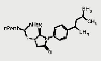 BC(C)CC(C)c1ccc(N2C(=O)CC(SC(CCCCC)CCCCCC)C2=O)cc1